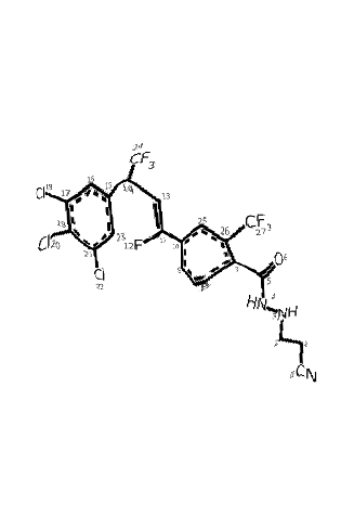 N#CCCNNC(=O)c1ccc(C(F)=CC(c2cc(Cl)c(Cl)c(Cl)c2)C(F)(F)F)cc1C(F)(F)F